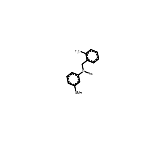 CSc1cccc(N(Cc2ccccc2C(F)(F)F)C(C)=O)c1